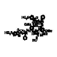 [C-]#[N+]/C(=C\c1sc(/N=N/c2cc(OC)c(N(CC)CC)cc2Nc2nc(Nc3cc(N(CC)CC)c(OC)cc3/N=N/c3nc(N4CCCCC4)c(/C=C(\C#N)N4C(=O)c5ccc(S(=O)(=O)O)cc5C4=O)s3)nc(SCCO)n2)nc1N1CCCCC1)N1C(=O)c2ccc(S(=O)(=O)O)cc2C1=O